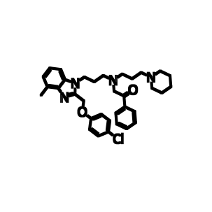 Cc1cccc2c1nc(COc1ccc(Cl)cc1)n2CCCN(CCCN1CCCCC1)CC(=O)c1ccccc1